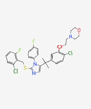 CC(C)(c1ccc(Cl)c(OCCN2CCOCC2)c1)c1cnc(SCc2c(F)cccc2Cl)n1-c1ccc(F)cc1